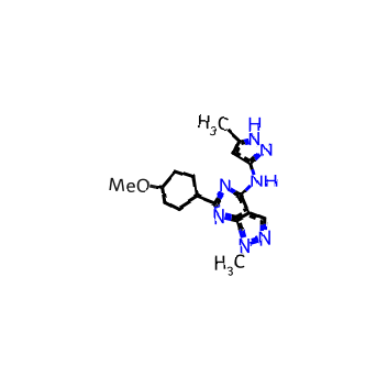 COC1CCC(c2nc(Nc3cc(C)[nH]n3)c3cnn(C)c3n2)CC1